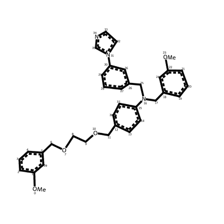 COc1cccc(COCCOCc2ccc(N(Cc3cccc(OC)c3)Cc3cccc(-n4ccnc4)c3)cc2)c1